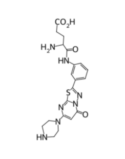 NC(CCC(=O)O)C(=O)Nc1cccc(-c2nn3c(=O)cc(N4CCNCC4)nc3s2)c1